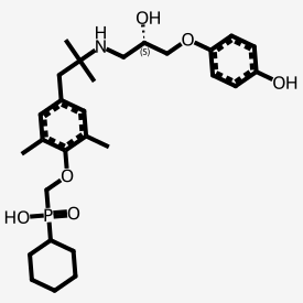 Cc1cc(CC(C)(C)NC[C@H](O)COc2ccc(O)cc2)cc(C)c1OCP(=O)(O)C1CCCCC1